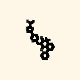 CC1(C)C(=O)N(Cc2ccc(-c3nnc(C(F)F)o3)cn2)C(=O)c2c(-c3cccnc3)cccc21